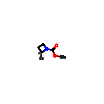 CC[C@@H]1CCN1C(=O)OC(C)(C)C